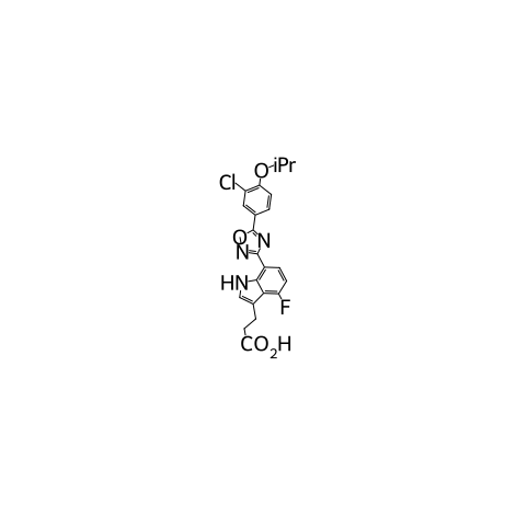 CC(C)Oc1ccc(-c2nc(-c3ccc(F)c4c(CCC(=O)O)c[nH]c34)no2)cc1Cl